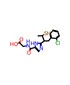 CC(S)C(Cc1ccccc1Cl)c1ncc(C(=O)NCC(=O)O)[nH]1